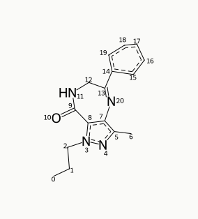 CCCn1nc(C)c2c1C(=O)NCC(c1ccccc1)=N2